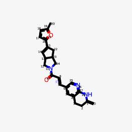 C=C1CCc2cc(/C=C/C(=O)N3CC4C=C(c5ccc(C)o5)CC4C3)cnc2N1